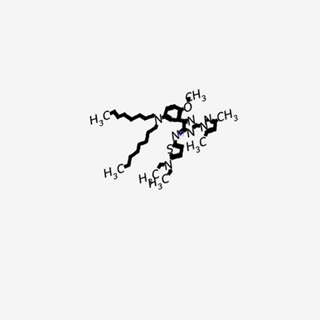 CCCCCCCCN(CCCCCCCC)c1ccc(OC)c(C2=NC(n3nc(C)cc3C)=N/C2=N\c2ccc(N(CC)CC)s2)c1